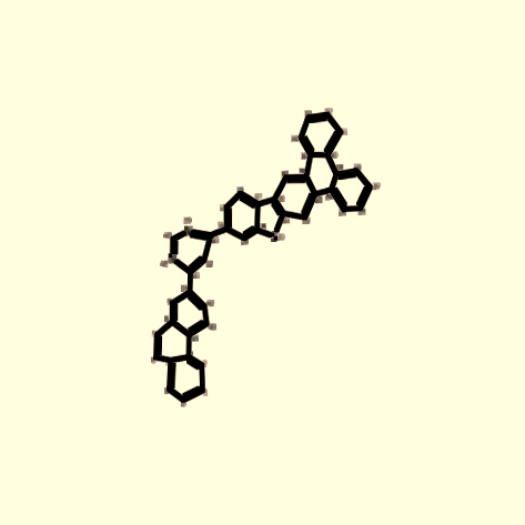 c1ccc2c(c1)ccc1cc(-c3cc(-c4ccc5c(c4)sc4cc6c7ccccc7c7ccccc7c6cc45)ncn3)ccc12